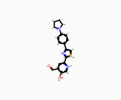 O=Cc1cc(-c2nc(-c3ccc(N4CCCC4)cc3)cs2)ncc1O